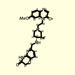 COc1ccc2ncc(=O)n(CCN3CC[C@@H](NCc4ccc5c(n4)NC(=O)CO5)[C@H](F)C3)c2c1